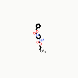 CCCCOC(=O)NC1CCN(C(=O)OCc2ccccc2)CC1